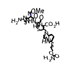 CO/N=C(\C(=O)N[C@@H]1C(=O)N2C(C(=O)O)=C(CN3C=CN4NC(SCCOC(N)=O)=CC=C34)CS[C@@H]12)c1nsc(N)n1